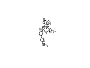 CC(C)(C)c1cc(C(=O)N[C@@H](Cc2nc3ccc(-c4ccc(N)nc4)cc3o2)C(=O)NC2(C#N)CC2)n(C2CC2)n1